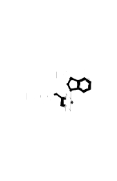 CC1(C)CC(n2cncc2CC(=O)O)c2ccccc21